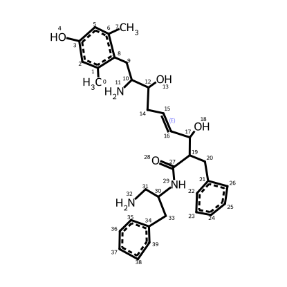 Cc1cc(O)cc(C)c1CC(N)C(O)C/C=C/C(O)C(Cc1ccccc1)C(=O)NC(CN)Cc1ccccc1